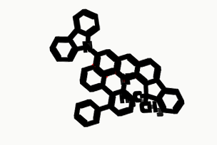 CC1(C)c2ccccc2-c2cccc(N(c3ccc(-n4c5ccccc5c5ccccc54)cc3)c3cccc(-c4ccccc4)c3-c3ccccc3-c3ccccc3)c21